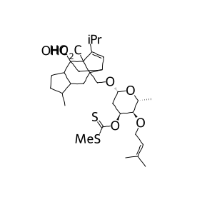 CSC(=S)O[C@H]1C[C@H](OCC23CC4C(C)CCC4C4(C=O)CC2C=C(C(C)C)C43C(=O)O)O[C@H](C)[C@H]1OCC=C(C)C